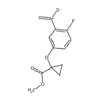 COC(=O)C1(Oc2ccc(F)c([N+](=O)[O-])c2)CC1